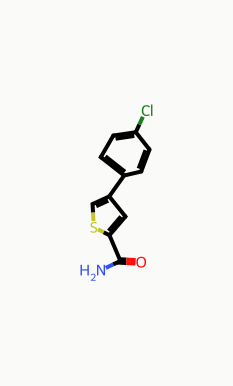 NC(=O)c1cc(-c2ccc(Cl)cc2)cs1